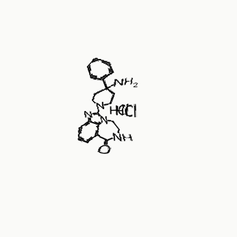 Cl.Cl.NC1(c2ccccc2)CCN(c2nc3cccc4c3n2CCNC4=O)CC1